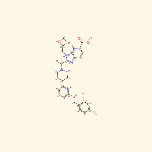 COC(=O)c1ccc2nc(C(C)N3CCC(c4cccc(OCc5ccc(Cl)cc5F)n4)CC3)n(C[C@@H]3CCO3)c2n1